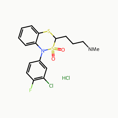 CNCCCC1Sc2ccccc2N(c2ccc(F)c(Cl)c2)S1(=O)=O.Cl